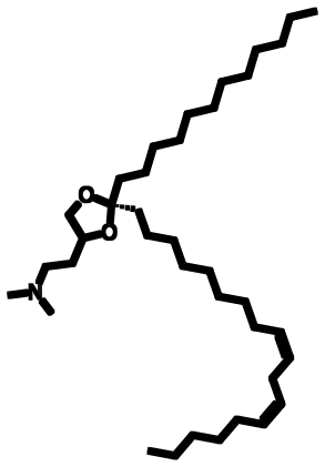 CCCCC/C=C\C/C=C\CCCCCCCC[C@@]1(CCCCCCCCCCCC)OCC(CCN(C)C)O1